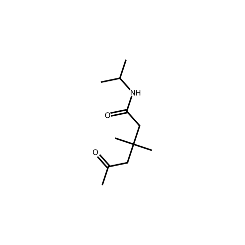 CC(=O)CC(C)(C)CC(=O)NC(C)C